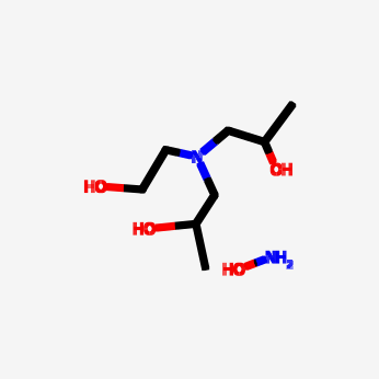 CC(O)CN(CCO)CC(C)O.NO